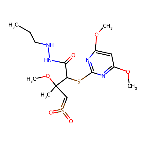 CCCNNC(=O)C(Sc1nc(OC)cc(OC)n1)C(C)(C=S(=O)=O)OC